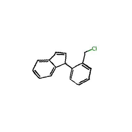 ClCc1ccccc1[C]1C=Cc2ccccc21